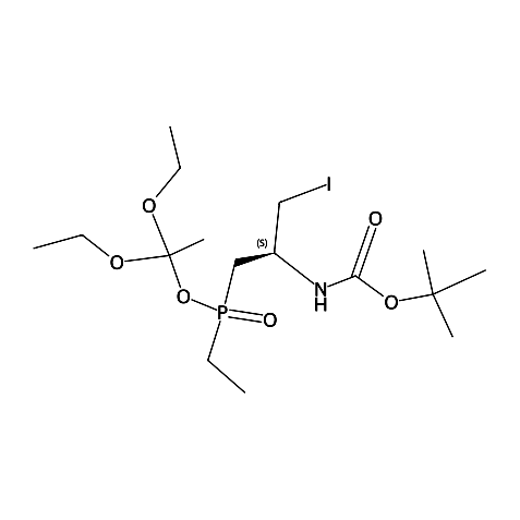 CCOC(C)(OCC)OP(=O)(CC)C[C@@H](CI)NC(=O)OC(C)(C)C